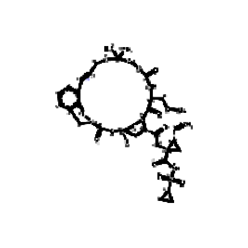 C=C[C@@H]1C[C@]1(NC(=O)[C@@H]1C[C@@H]2CN1C(=O)[C@H](COC(C)(C)C)NC(=O)OCC(C)(C)CC/C=C/c1cccc3c1CN(C3)C(=O)O2)C(=O)NS(=O)(=O)C1CC1